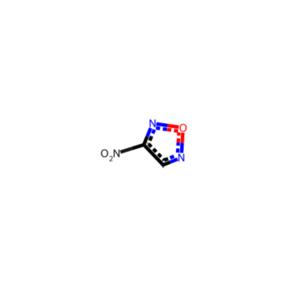 O=[N+]([O-])c1[c]non1